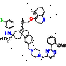 COc1ccccc1-c1nccc(CN2CCN(Cc3ccc4c(c3)C3(CCC(Nc5cccc(Cl)c5)(C(=O)O)CC3)[C@@H](C[C@@H](C)COc3ccnc5c3[C@H](C)CCC5)C4)CC2)n1